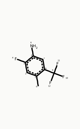 Cc1cc(F)c(N)cc1C(F)(F)F